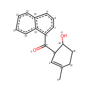 CC1=CC(C(=O)c2cccc3ccccc23)C(O)CC1